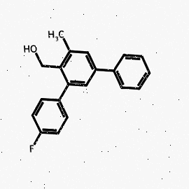 Cc1cc(-c2ccccc2)cc(-c2ccc(F)cc2)c1CO